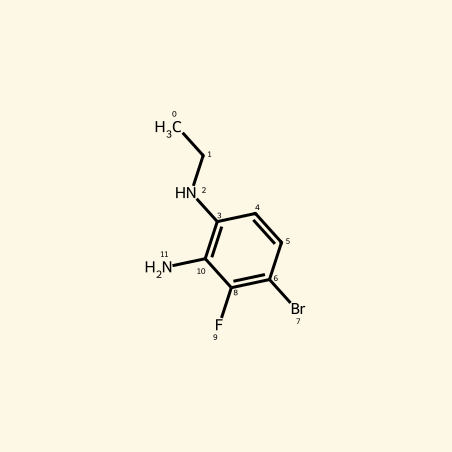 CCNc1ccc(Br)c(F)c1N